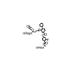 CCCCCCCC(CCCOc1cc(C(=O)Oc2ccc(C(=O)O[C@H](C)CCCCCC)c(F)c2)ccc1-c1ccccc1)OCC1(C)COC1